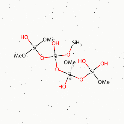 CO[Si](O)(O)O[Si@](O)(OC)O[Si](O)(O[SiH3])O[Si](O)(OC)OC